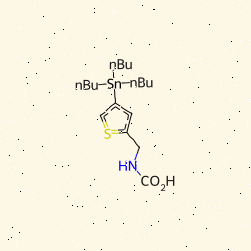 CCC[CH2][Sn]([CH2]CCC)([CH2]CCC)[c]1csc(CNC(=O)O)c1